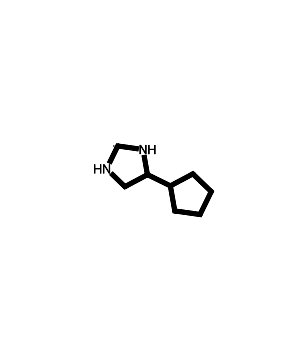 [CH]1NCC(C2CCCC2)N1